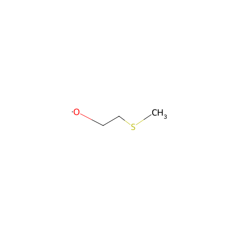 CSCC[O]